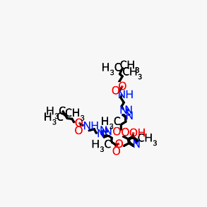 Cc1ncc(COC(=O)C(C)Cc2cn(CCCNC(=O)OCCCC(C)(C)C)nn2)c(COC(=O)C(C)Cc2cn(CCCNC(=O)OCCCC(C)(C)C)nn2)c1O